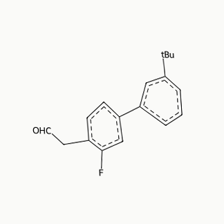 CC(C)(C)c1cccc(-c2ccc(CC=O)c(F)c2)c1